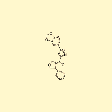 O=C(c1cc(-c2ccc3c(c2)OCO3)on1)N1COCC1c1ccccc1